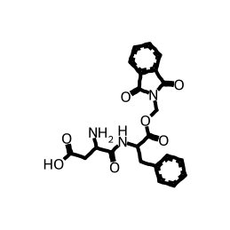 NC(CC(=O)O)C(=O)NC(Cc1ccccc1)C(=O)OCN1C(=O)c2ccccc2C1=O